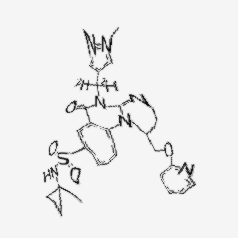 [2H]C([2H])(c1cnn(C)c1)N1C(=O)c2cc(S(=O)(=O)NC3(C)CC3)ccc2N2C1=NCC2COc1ccccn1